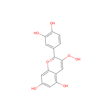 OOc1cc2c(O)cc(O)cc2[o+]c1-c1ccc(O)c(O)c1